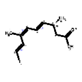 CC(=C/C=C/[C@H](C)CC(=O)O)/C=C/I